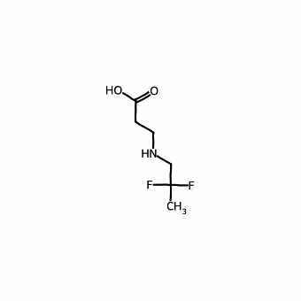 CC(F)(F)CNCCC(=O)O